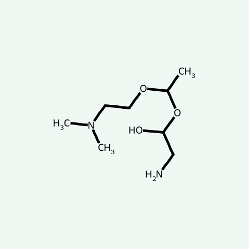 CC(OCCN(C)C)OC(O)CN